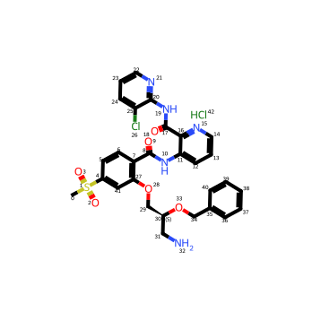 CS(=O)(=O)c1ccc(C(=O)Nc2cccnc2C(=O)Nc2ncccc2Cl)c(OC[C@H](CN)OCc2ccccc2)c1.Cl